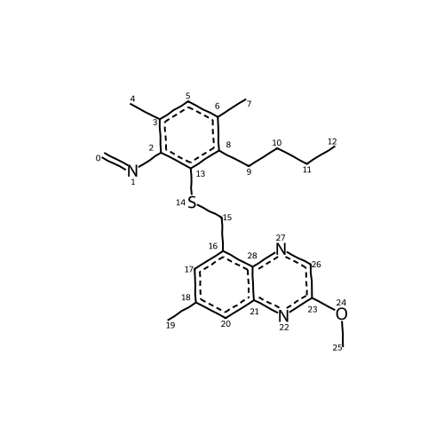 C=Nc1c(C)cc(C)c(CCCC)c1SCc1cc(C)cc2nc(OC)cnc12